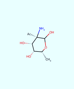 CC(=O)[C@]1(N)C(O)O[C@H](C)[C@H](O)[C@@H]1O